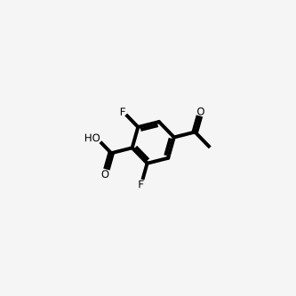 CC(=O)c1cc(F)c(C(=O)O)c(F)c1